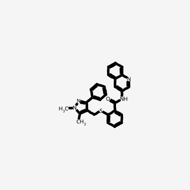 Cc1c(CSc2ccccc2C(=O)Nc2cnc3ccccc3c2)c(-c2ccccc2)nn1C